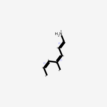 C\C=C/C(C)=C\C=C\N